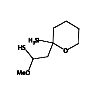 COC(S)CC1([SiH3])CCCCO1